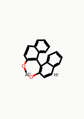 [H-].c1ccc2c3c(ccc2c1)[O][Al+][O]c1ccc2ccccc2c1-3